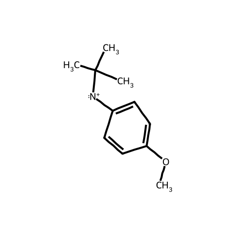 COc1ccc([N+]C(C)(C)C)cc1